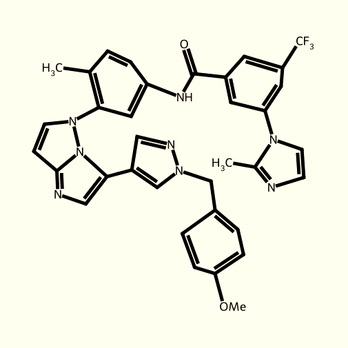 COc1ccc(Cn2cc(-c3cnc4ccn(-c5cc(NC(=O)c6cc(-n7ccnc7C)cc(C(F)(F)F)c6)ccc5C)n34)cn2)cc1